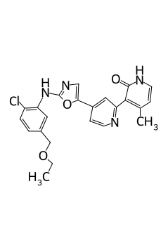 CCOCc1ccc(Cl)c(Nc2ncc(-c3ccnc(-c4c(C)cc[nH]c4=O)c3)o2)c1